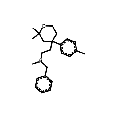 Cc1ccc(C2(CCN(C)Cc3ccccc3)CCOC(C)(C)C2)cc1